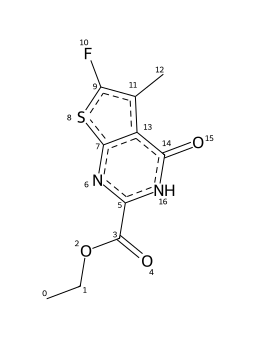 CCOC(=O)c1nc2sc(F)c(C)c2c(=O)[nH]1